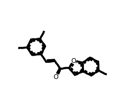 Cc1cc(C)cc(C=CC(=O)c2cc3cc(C)ccc3o2)c1